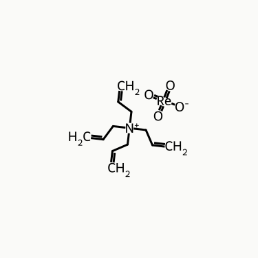 C=CC[N+](CC=C)(CC=C)CC=C.[O]=[Re](=[O])(=[O])[O-]